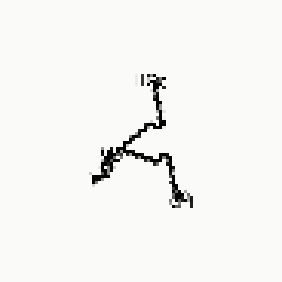 O=C(O)CCCCCCC/C=C\C/C=C\CCCCCCC(CCCCCC/C=C\C/C=C\CCCCCCCC(=O)O)COC(=O)C1CCN(CC2CC2)CC1